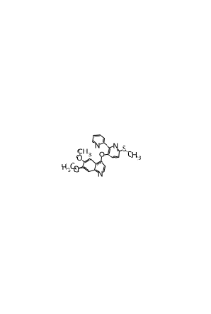 COc1cc2nccc(Oc3ccc(SC)nc3-c3ccccn3)c2cc1OC